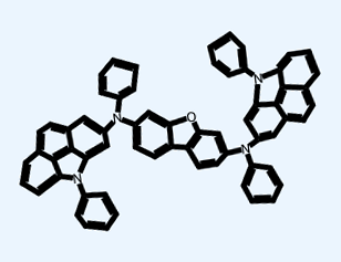 c1ccc(N(c2ccc3c(c2)oc2cc(N(c4ccccc4)c4cc5ccc6cccc7c6c5c(c4)n7-c4ccccc4)ccc23)c2cc3ccc4cccc5c4c3c(c2)n5-c2ccccc2)cc1